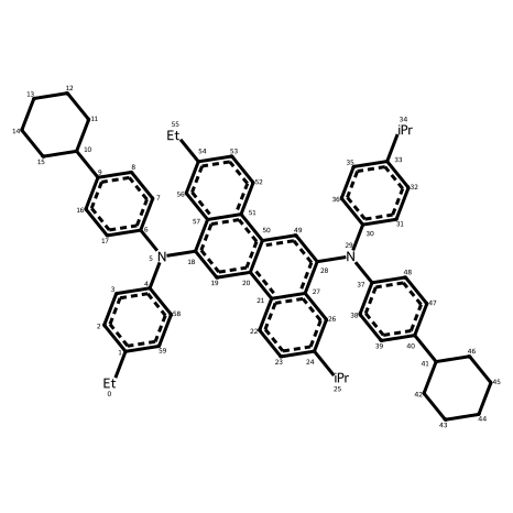 CCc1ccc(N(c2ccc(C3CCCCC3)cc2)c2cc3c4ccc(C(C)C)cc4c(N(c4ccc(C(C)C)cc4)c4ccc(C5CCCCC5)cc4)cc3c3ccc(CC)cc23)cc1